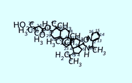 C=C(C)[C@@H]1CCC2(C(=O)N[C@@H](C)c3ccccn3)CC[C@]3(C)C(CCC4C5(C)CCC(OC(=O)CC(C)(C)C(=O)O)C(C)(C)C5CCC43C)C12